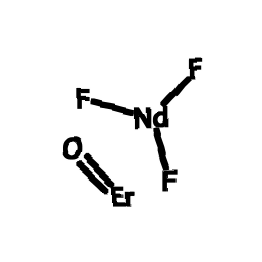 [F][Nd]([F])[F].[O]=[Er]